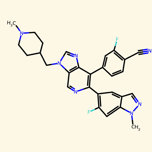 CN1CCC(Cn2cnc3c(-c4ccc(C#N)c(F)c4)c(-c4cc5cnn(C)c5cc4F)ncc32)CC1